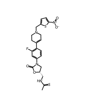 CC(=S)NC[C@H]1CN(c2ccc(C3=CCN(Cc4ccc([N+](=O)[O-])s4)CC3)c(F)c2)C(=O)O1